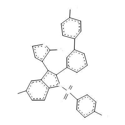 Cc1ccc(S(=O)(=O)n2c(-c3cccc(-c4ccc(C(=O)O)cc4)c3)c(-c3ccsc3C#N)c3cc(F)ccc32)cc1